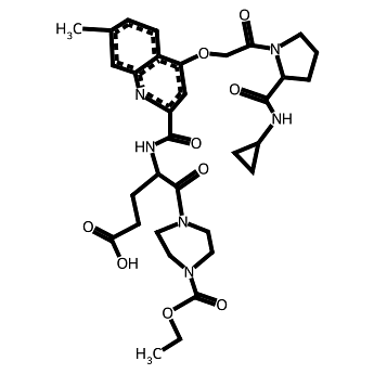 CCOC(=O)N1CCN(C(=O)C(CCC(=O)O)NC(=O)c2cc(OCC(=O)N3CCCC3C(=O)NC3CC3)c3ccc(C)cc3n2)CC1